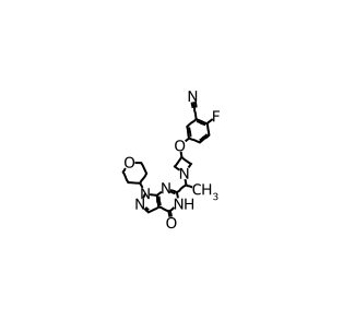 CC(c1nc2c(cnn2C2CCOCC2)c(=O)[nH]1)N1CC(Oc2ccc(F)c(C#N)c2)C1